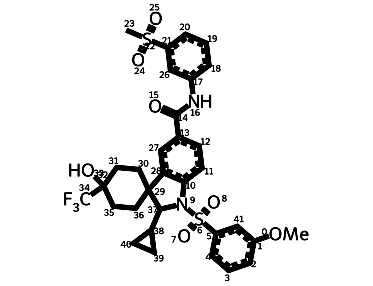 COc1cccc(S(=O)(=O)N2c3ccc(C(=O)Nc4cccc(S(C)(=O)=O)c4)cc3C3(CCC(O)(C(F)(F)F)CC3)C2C2CC2)c1